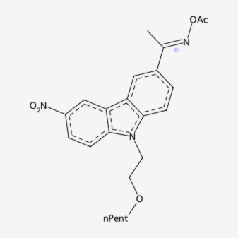 CCCCCOCCn1c2ccc(/C(C)=N/OC(C)=O)cc2c2cc([N+](=O)[O-])ccc21